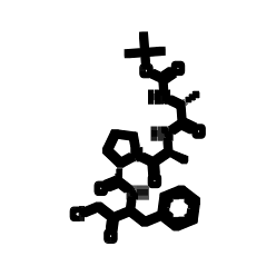 C[C@H](NC(=O)[C@@H](C)NC(=O)OC(C)(C)C)C(=O)N1CCC[C@H]1C(=O)NC(Cc1ccccc1)C(=O)CCl